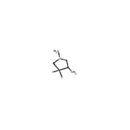 NC1CN(N)CC1(F)F